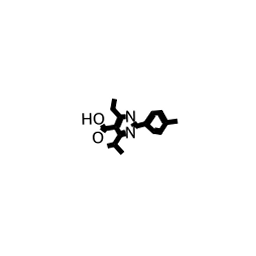 CCc1nc(-c2ccc(C)cc2)nc(C(C)C)c1C(=O)O